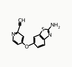 C#Cc1cc(Oc2ccc3nc(N)sc3c2)ccn1